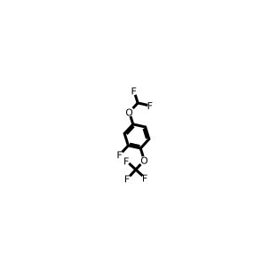 Fc1cc(OC(F)F)ccc1OC(F)(F)F